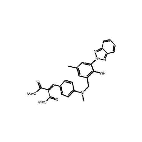 COC(=O)C(=Cc1ccc(N(C)Cc2cc(C)cc(-n3nc4ccccc4n3)c2O)cc1)C(=O)OC